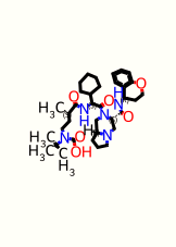 C[C@@H](CCN(C(=O)O)C(C)(C)C)C(=O)N[C@H](C(=O)N1C[C@H]2CCCN2C[C@H]1C(=O)N[C@@H]1CCOc2ccccc21)C1CCCCC1